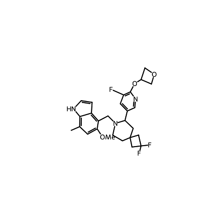 COc1cc(C)c2[nH]ccc2c1CN1CCC2(CC1c1cnc(OC3COC3)c(F)c1)CC(F)(F)C2